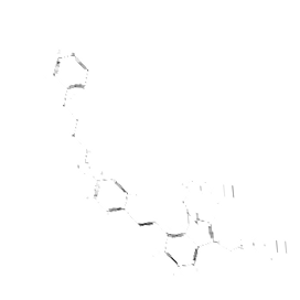 O=C(O)Cc1cn(CC(=O)O)c2c(/C=C/c3ccc(OCCCCc4ccccc4)cc3)cccc12